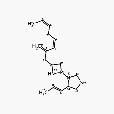 C=C(/C=C\C/C=C\C)CC1CP(N2CSCC2/C=C/C)N1